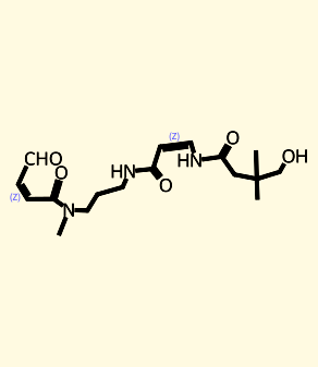 CN(CCCNC(=O)/C=C\NC(=O)CC(C)(C)CO)C(=O)/C=C\C=O